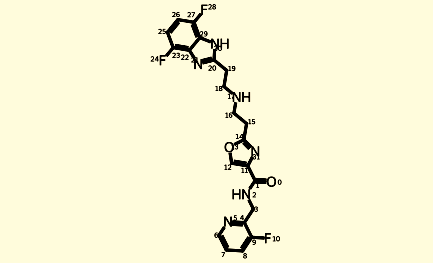 O=C(NCc1ncccc1F)c1coc(CCNCCc2nc3c(F)ccc(F)c3[nH]2)n1